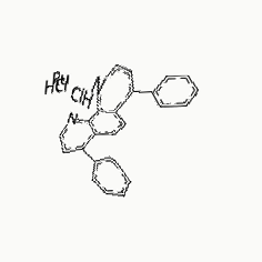 Cl.Cl.[Ru].c1ccc(-c2ccnc3c2ccc2c(-c4ccccc4)ccnc23)cc1